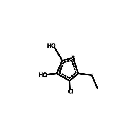 CCc1sc(O)c(O)c1Cl